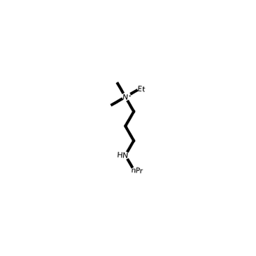 CCCNCCC[N+](C)(C)CC